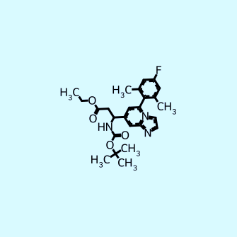 CCOC(=O)CC(NC(=O)OC(C)(C)C)c1cc(-c2c(C)cc(F)cc2C)n2ccnc2c1